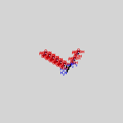 NCCCCCCN.NCCN.O=P(O)(O)CP(=O)(O)O.O=P(O)(O)CP(=O)(O)O.O=P(O)(O)CP(=O)(O)O.O=P(O)(O)CP(=O)(O)O.O=P(O)(O)CP(=O)(O)O.O=P(O)(O)CP(=O)(O)O.O=P(O)(O)CP(=O)(O)O.O=P(O)(O)CP(=O)(O)O